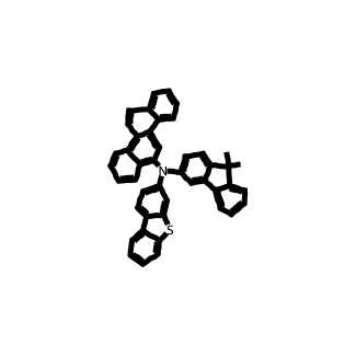 CC1(C)c2ccccc2-c2cc(N(c3ccc4c(c3)sc3ccccc34)c3cc4c5ccccc5ccc4c4ccccc34)ccc21